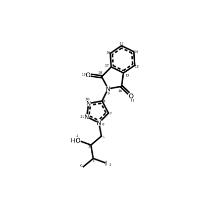 CC(I)C(O)Cn1cc(N2C(=O)c3ccccc3C2=O)nn1